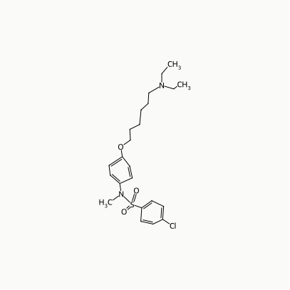 CCN(CC)CCCCCCOc1ccc(N(C)S(=O)(=O)c2ccc(Cl)cc2)cc1